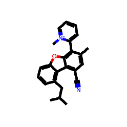 Cc1cc(C#N)c2c(oc3cccc(CC(C)C)c32)c1-c1cccc[n+]1C